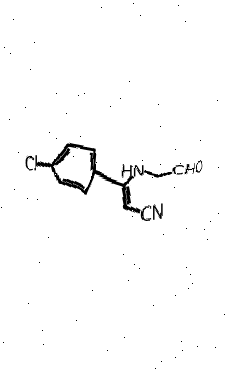 N#CC=C(NCC=O)c1ccc(Cl)cc1